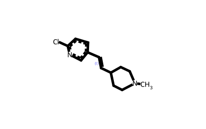 CN1CCC(/C=C/c2ccc(Cl)nc2)CC1